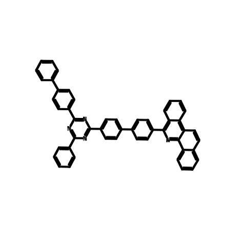 c1ccc(-c2ccc(-c3nc(-c4ccccc4)nc(-c4ccc(-c5ccc(-c6nc7c8ccccc8ccc7c7ccccc67)cc5)cc4)n3)cc2)cc1